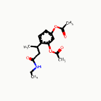 CCNC(=O)CC(C)c1ccc(OC(C)=O)cc1OC(C)=O